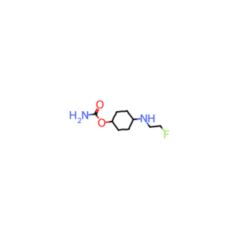 NC(=O)OC1CCC(NCCF)CC1